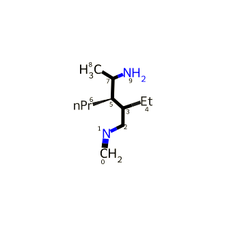 C=NCC(CC)[C@@H](CCC)C(C)N